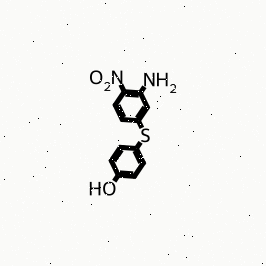 Nc1cc(Sc2ccc(O)cc2)ccc1[N+](=O)[O-]